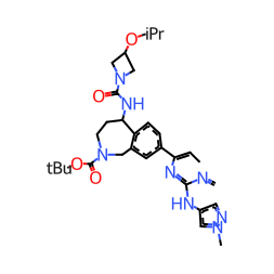 C=N/C(=N\C(=C/C)c1ccc2c(c1)CN(C(=O)OC(C)(C)C)CCC2NC(=O)N1CC(OC(C)C)C1)Nc1cnn(C)c1